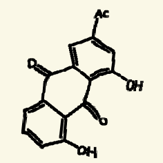 CC(=O)c1cc(O)c2c(c1)C(=O)c1cccc(O)c1C2=O